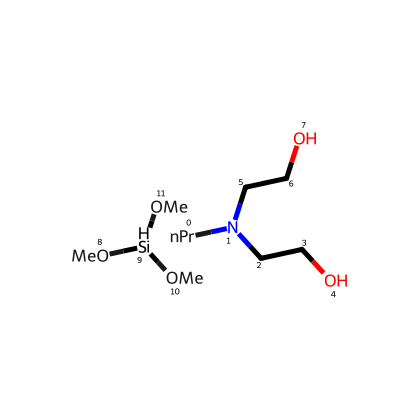 CCCN(CCO)CCO.CO[SiH](OC)OC